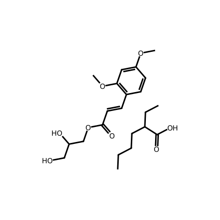 CCCCC(CC)C(=O)O.COc1ccc(C=CC(=O)OCC(O)CO)c(OC)c1